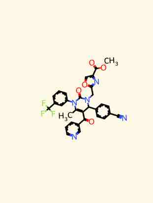 COC(=O)c1coc(CN2C(=O)N(c3cccc(C(F)(F)F)c3)C(C)=C(C(=O)c3cccnc3)C2c2ccc(C#N)cc2)n1